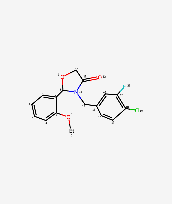 CCOc1ccccc1C1OCC(=O)N1Cc1ccc(Cl)c(F)c1